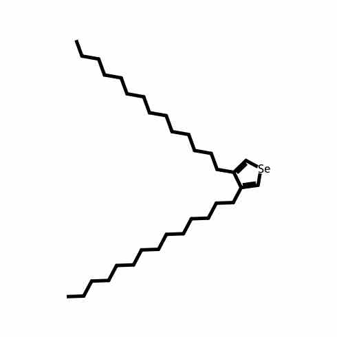 CCCCCCCCCCCCCCc1c[se]cc1CCCCCCCCCCCCCC